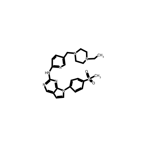 CCN1CCN(Cc2ccc(Nc3ncc4ccn(-c5ccc(S(C)(=O)=O)cc5)c4n3)nc2)CC1